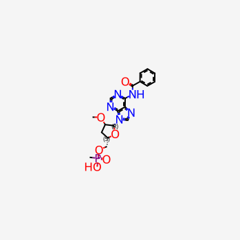 COC1C[C@@H](COP(C)(=O)O)O[C@H]1n1cnc2c(NC(=O)c3ccccc3)ncnc21